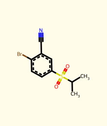 CC(C)S(=O)(=O)c1ccc(Br)c(C#N)c1